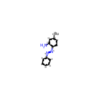 CCC(C)c1ccc(N=Nc2ccccc2)c(N)c1